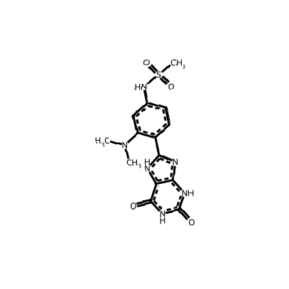 CN(C)c1cc(NS(C)(=O)=O)ccc1-c1nc2[nH]c(=O)[nH]c(=O)c2[nH]1